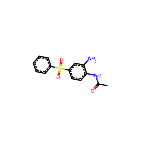 CC(=O)Nc1ccc(S(=O)(=O)c2ccccc2)cc1N